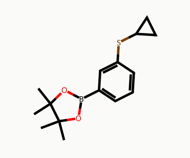 CC1(C)OB(c2cccc(SC3CC3)c2)OC1(C)C